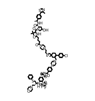 Cc1ncsc1-c1ccc([C@H](C)NC(=O)[C@@H]2C[C@@H](O)CN2C(=O)[C@@H](NC(=O)CCCC(=O)N2CCN(CCN(C)CC3(C)CCC(c4ccc(Cl)cc4)=C(CN4CCN(c5ccc(C(=O)NS(=O)(=O)c6ccc(N[C@H](CCN7CCOCC7)CSc7ccccc7)c(S(=O)(=O)C(F)(F)F)c6)cc5)CC4)C3)CC2)C(C)(C)C)cc1